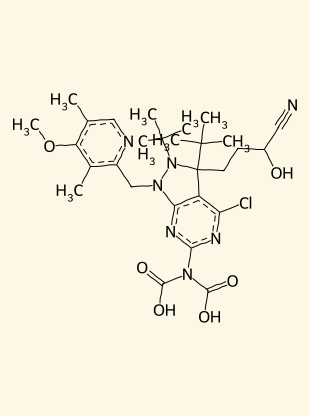 COc1c(C)cnc(CN2c3nc(N(C(=O)O)C(=O)O)nc(Cl)c3C(CCC(O)C#N)(C(C)(C)C)N2C(C)(C)C)c1C